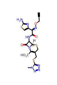 C#CCO/N=C(/C(=O)NC1C(=O)N2C(C(=O)O)=C(CSc3nnnn3C)CS[C@H]12)c1csc(N)n1